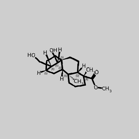 COC(=O)[C@]1(C)CCC[C@@]2(C)[C@@H]3C[C@@H]4CC[C@@]3(CC[C@@H]21)[C@@H](O)[C@H]4CO